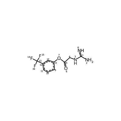 N=C(N)NCC(=O)Oc1cccc(C(F)(F)F)c1